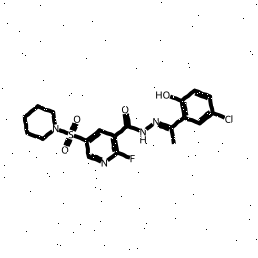 C/C(=N\NC(=O)c1cc(S(=O)(=O)N2CCCCC2)cnc1F)c1cc(Cl)ccc1O